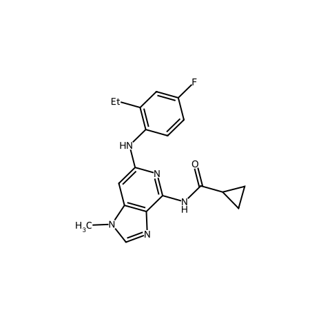 CCc1cc(F)ccc1Nc1cc2c(ncn2C)c(NC(=O)C2CC2)n1